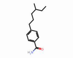 CCC(C)CCCc1ccc(C(N)=O)cc1